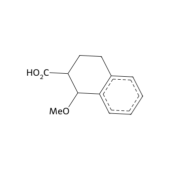 COC1c2ccccc2CCC1C(=O)O